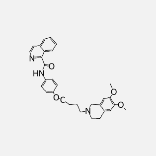 COc1cc2c(cc1OC)CN(CCCCOc1ccc(NC(=O)c3nccc4ccccc34)cc1)CC2